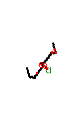 CCCCC/C=C\C/C=C\CCCCCCCCC(CCCCCCCC/C=C\C/C=C\CCCCC)(OC)O[C@@H](C)CCl